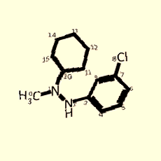 CN(Nc1cccc(Cl)c1)C1CCCCC1